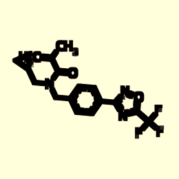 C=C(C)C(=O)N(Cc1ccc(-c2noc(C(F)(F)F)n2)cc1)CC1CC1